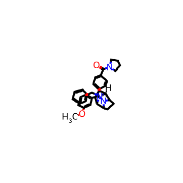 COc1cccc(C(c2ccc(C(=O)N3CCCC3)cc2)N2C3CCC2[C@H]2CCC3N2Cc2ccccc2)c1